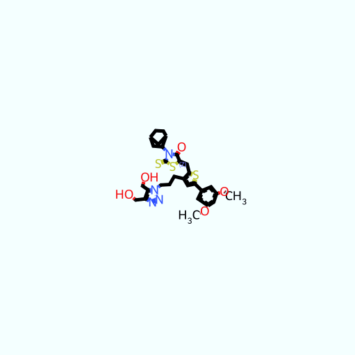 COc1cc(OC)cc(-c2cc(CCCn3nnc(CO)c3CO)c(/C=C3\SC(=S)N(C4CC5CCC4C5)C3=O)s2)c1